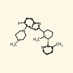 Cc1cccnc1[C@@H]1CCCC(c2cn3c(N4CCN(C)CC4)c(F)ccc3n2)N1C